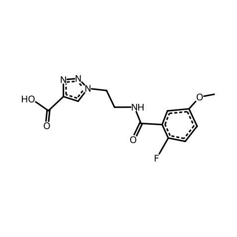 COc1ccc(F)c(C(=O)NCCn2cc(C(=O)O)nn2)c1